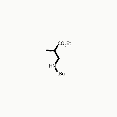 CCOC(=O)C(C)CNC(C)(C)C